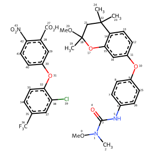 CON(C)C(=O)Nc1ccc(Oc2ccc3c(c2)OC(C)(OC)CC3(C)C)cc1.O=C(O)c1cc(Oc2ccc(C(F)(F)F)cc2Cl)ccc1[N+](=O)[O-]